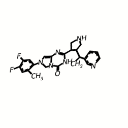 Cc1cc(F)c(F)cc1N1C=C2N=C(C3CNCC3C(C)c3cccnc3)NC(=O)N2C1